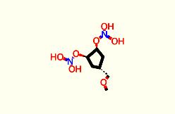 COC[C@H]1C[C@H](ON(O)O)[C@H](ON(O)O)C1